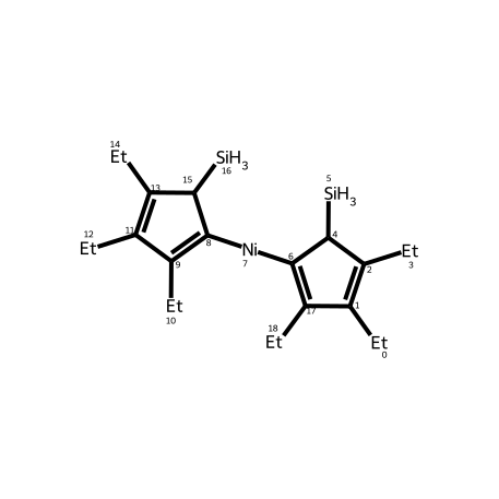 CCC1=C(CC)C([SiH3])[C]([Ni][C]2=C(CC)C(CC)=C(CC)C2[SiH3])=C1CC